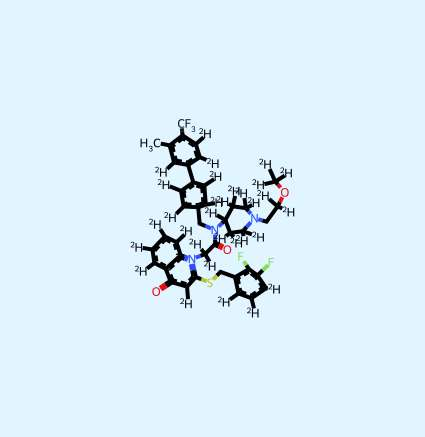 [2H]c1c([2H])c(F)c(F)c(CSc2c([2H])c(=O)c3c([2H])c([2H])c([2H])c([2H])c3n2C([2H])([2H])C(=O)N(Cc2c([2H])c([2H])c(-c3c([2H])c([2H])c(C(F)(F)F)c(C)c3[2H])c([2H])c2[2H])C2([2H])C([2H])([2H])C([2H])([2H])N(CC([2H])([2H])OC([2H])([2H])[2H])C([2H])([2H])C2([2H])[2H])c1[2H]